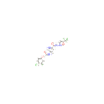 O=C(COc1ccc(Cl)c(F)c1)NC1CCC(C(=O)NCc2cc(C(F)(F)F)on2)NC1